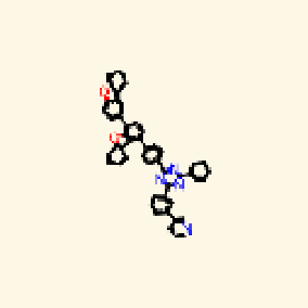 c1ccc(-c2nc(-c3ccc(-c4ccc(-c5ccc6oc7ccccc7c6c5)c5oc6ccccc6c45)cc3)nc(-c3cccc(-c4cccnc4)c3)n2)cc1